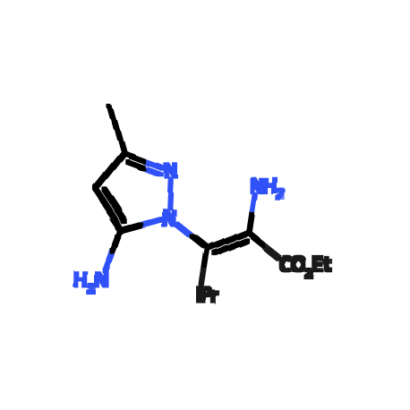 CCOC(=O)/C(N)=C(\C(C)C)n1nc(C)cc1N